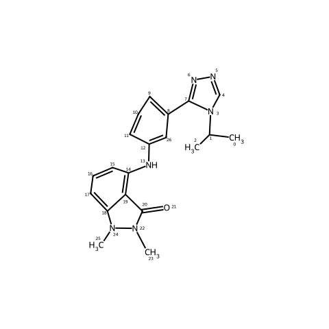 CC(C)n1cnnc1-c1cccc(Nc2cccc3c2c(=O)n(C)n3C)c1